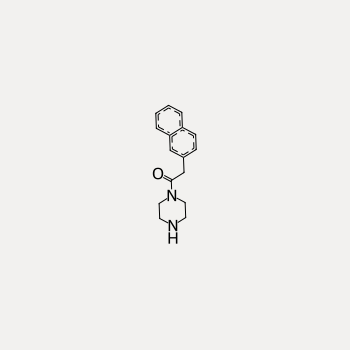 O=C(Cc1ccc2ccccc2c1)N1CCNCC1